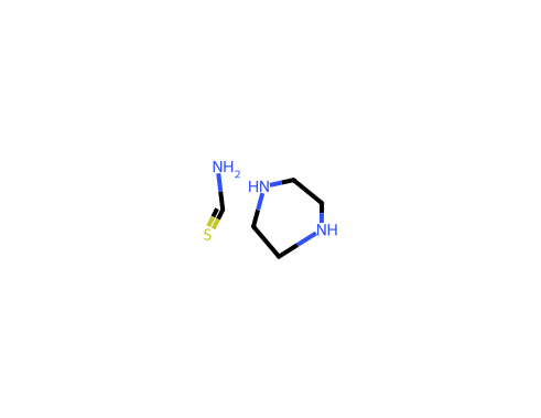 C1CNCCN1.NC=S